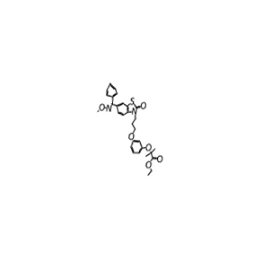 CCOC(=O)C(C)(C)Oc1cccc(OCCCn2c(=O)sc3cc(/C(=N/OC)c4ccccc4)ccc32)c1